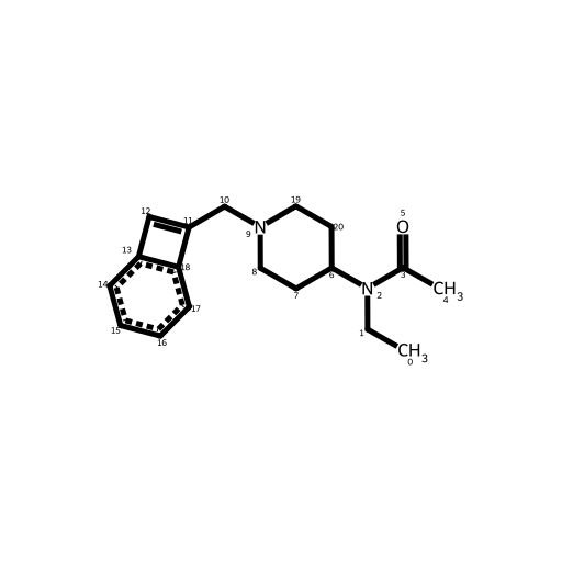 CCN(C(C)=O)C1CCN(CC2=Cc3ccccc32)CC1